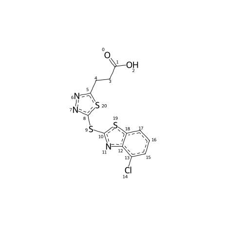 O=C(O)CCc1nnc(Sc2nc3c(Cl)cccc3s2)s1